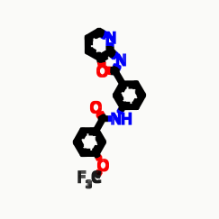 O=C(Nc1cccc(-c2nc3ncccc3o2)c1)c1cccc(OC(F)(F)F)c1